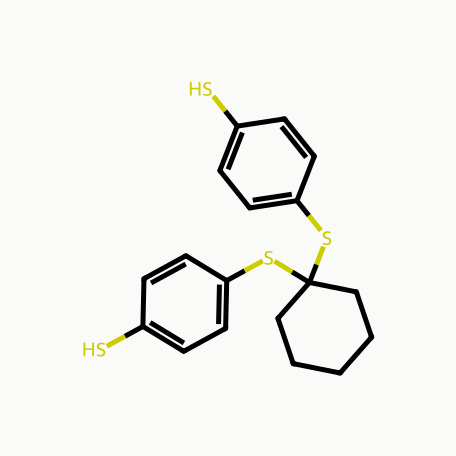 Sc1ccc(SC2(Sc3ccc(S)cc3)CCCCC2)cc1